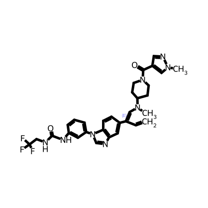 C=C/C(=C\N(C)C1CCN(C(=O)c2cnn(C)c2)CC1)c1ccc2c(c1)ncn2-c1cccc(NC(=O)NCC(F)(F)F)c1